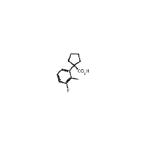 Cc1c(F)cccc1C1(C(=O)O)CCCC1